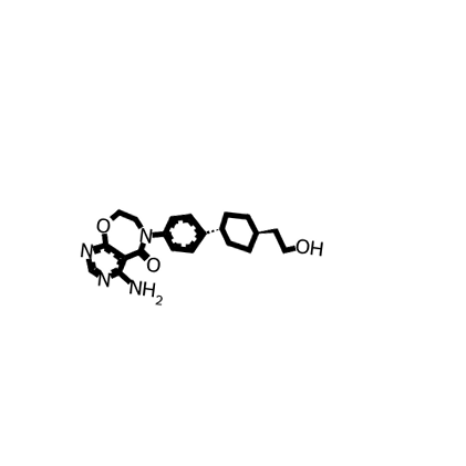 Nc1ncnc2c1C(=O)N(c1ccc([C@H]3CC[C@H](CCO)CC3)cc1)CCO2